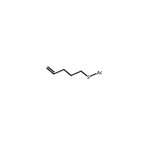 C=CCCCSC(C)=O